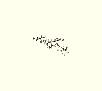 COc1cc2c(Oc3ccc(N)cc3F)ccnc2cc1OCCN1C(C)CCCC1C